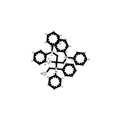 CC[PH](c1ccccc1)(c1ccccc1)C(C)(CP(c1ccccc1)c1ccccc1)CP(c1ccccc1)c1ccccc1